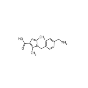 Cc1cc(C(=O)O)c(C)n1Cc1ccc(CN)cc1